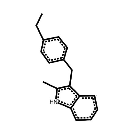 CCc1ccc(Cc2c(C)[nH]c3ccc[c]c23)cc1